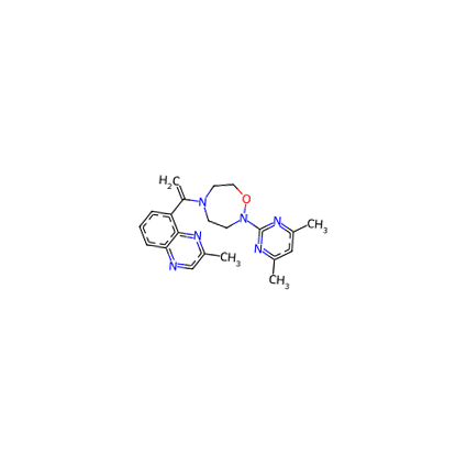 C=C(c1cccc2ncc(C)nc12)N1CCON(c2nc(C)cc(C)n2)CC1